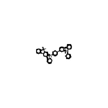 CC1(C)c2ccccc2-c2cc3c4ccccc4n(-c4ccc(-c5ccc6c7ccccc7n(-c7ccccc7)c6c5)cc4)c3cc21